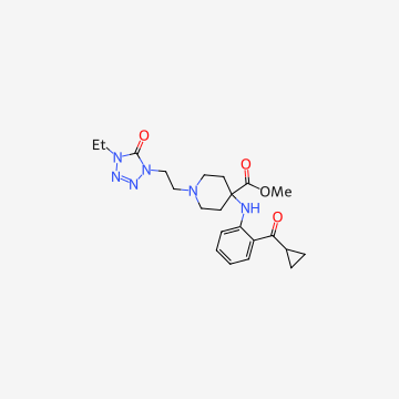 CCn1nnn(CCN2CCC(Nc3ccccc3C(=O)C3CC3)(C(=O)OC)CC2)c1=O